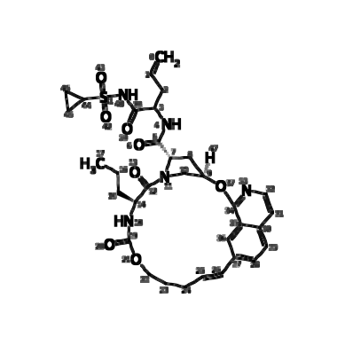 C=CCC(NC(=O)[C@@H]1C[C@@H]2CN1C(=O)[C@H](CCC)NC(=O)OCCC/C=C/c1ccc3ccnc(c3c1)O2)C(=O)NS(=O)(=O)C1CC1